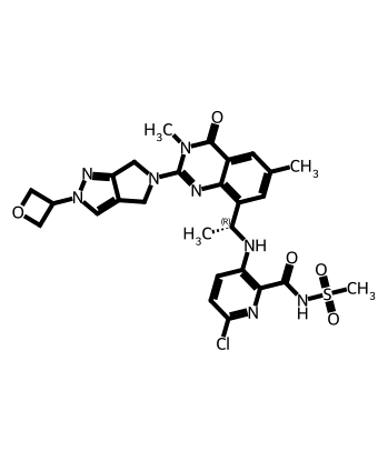 Cc1cc([C@@H](C)Nc2ccc(Cl)nc2C(=O)NS(C)(=O)=O)c2nc(N3Cc4cn(C5COC5)nc4C3)n(C)c(=O)c2c1